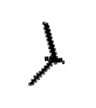 CCCCCCCCCCCCCCCCCCC(C)(N)C(N)(CCCCCCCCCCCCCCCCCC)CCCCCCCCCCCCCCCCCC